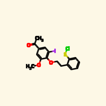 COc1cc(C(C)=O)cc(I)c1OCCc1ccccc1SCl